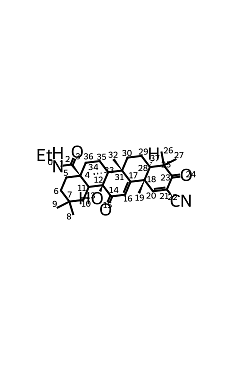 CCNC(=O)[C@]12CCC(C)(C)CC1[C@@]1(O)C(=O)C=C3[C@@]4(C)C=C(C#N)C(=O)C(C)(C)[C@@H]4CC[C@@]3(C)[C@]1(C)CC2